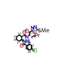 CSc1nnc(C(=O)[C@H](CC(C)C)NC(=O)[C@@H]2CCCC[C@@H]2NC(=O)c2ccc(Cl)cc2)o1